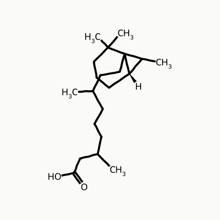 CC(CCCC(C)CC(=O)O)CCC12C(C)[C@@H]1CCCC2(C)C